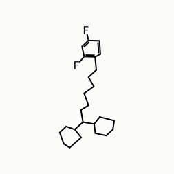 Fc1ccc(CCCCCCC(C2CCCCC2)C2CCCCC2)c(F)c1